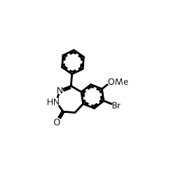 COc1cc2c(cc1Br)CC(=O)NN=C2c1ccccc1